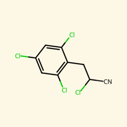 N#CC(Cl)Cc1c(Cl)cc(Cl)cc1Cl